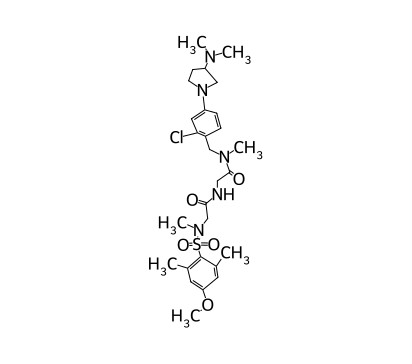 COc1cc(C)c(S(=O)(=O)N(C)CC(=O)NCC(=O)N(C)Cc2ccc(N3CCC(N(C)C)C3)cc2Cl)c(C)c1